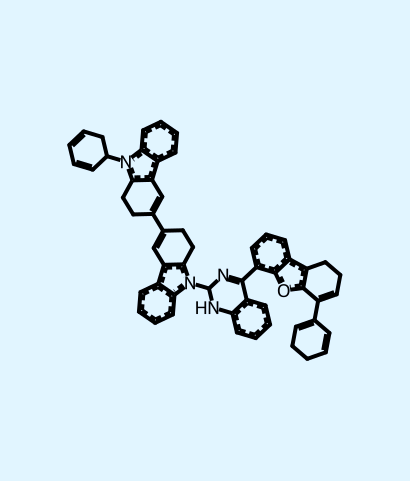 C1=CCC(n2c3c(c4ccccc42)C=C(C2=Cc4c(n(C5N=C(c6cccc7c8c(oc67)C(C6=CCCC=C6)=CCC8)c6ccccc6N5)c5ccccc45)CC2)CC3)C=C1